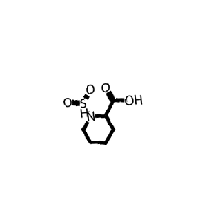 O=C(O)C1CCCCN1[SH](=O)=O